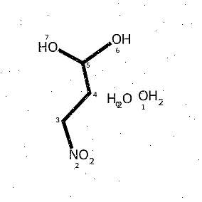 O.O.O=[N+]([O-])CCC(O)O